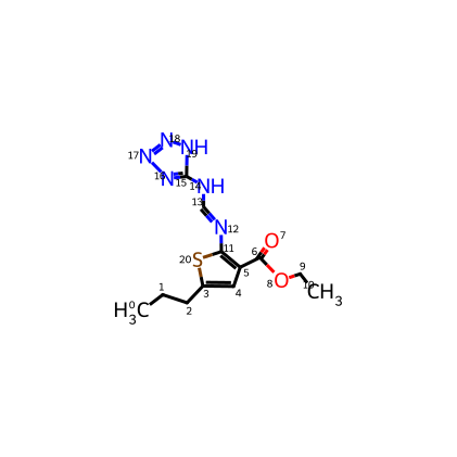 CCCc1cc(C(=O)OCC)c(/N=C/Nc2nnn[nH]2)s1